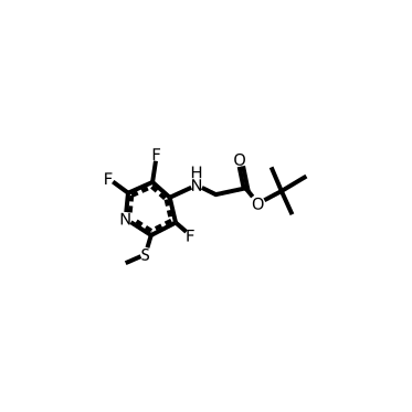 CSc1nc(F)c(F)c(NCC(=O)OC(C)(C)C)c1F